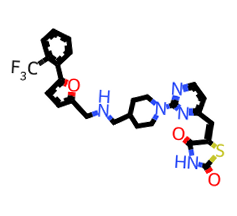 O=C1NC(=O)/C(=C\c2ccnc(N3CCC(CNCc4ccc(-c5ccccc5C(F)(F)F)o4)CC3)n2)S1